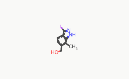 Cc1c(CO)ccc2c(I)n[nH]c12